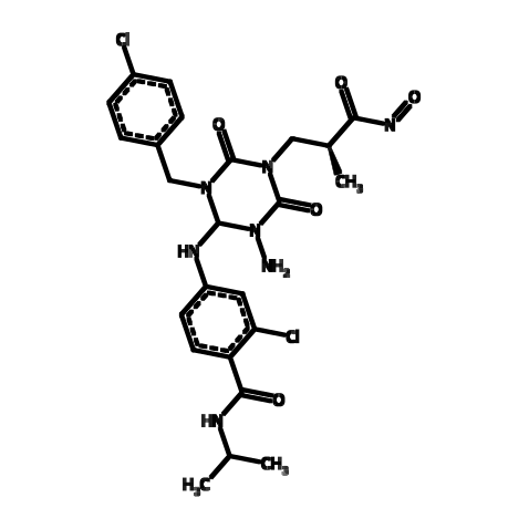 CC(C)NC(=O)c1ccc(NC2N(N)C(=O)N(C[C@H](C)C(=O)N=O)C(=O)N2Cc2ccc(Cl)cc2)cc1Cl